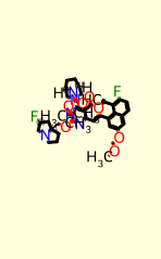 C#Cc1c(F)ccc2cc(OCOC)cc(-c3cc4nc(OC[C@@]56CCCN5C[C@H](F)C6)nc(N5C[C@H]6CC[C@@H](C5)N6C(=O)OC(C)(C)C)c4c(=O)o3)c12